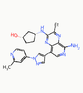 CCc1nc2c(N)ncc(-c3cnn(-c4ccnc(C)c4)c3)c2nc1N[C@@H]1CC[C@H](O)C1